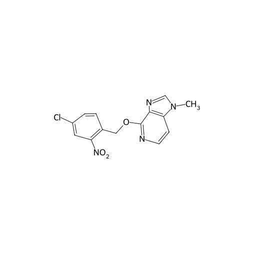 Cn1cnc2c(OCc3ccc(Cl)cc3[N+](=O)[O-])nccc21